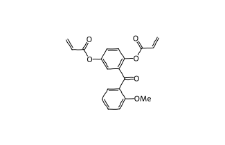 C=CC(=O)Oc1ccc(OC(=O)C=C)c(C(=O)c2ccccc2OC)c1